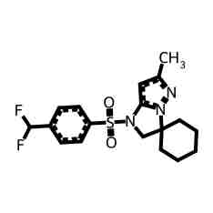 Cc1cc2n(n1)C1(CCCCC1)CN2S(=O)(=O)c1ccc(C(F)F)cc1